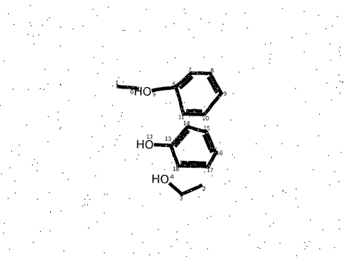 CC.CCO.Oc1ccccc1.Oc1ccccc1